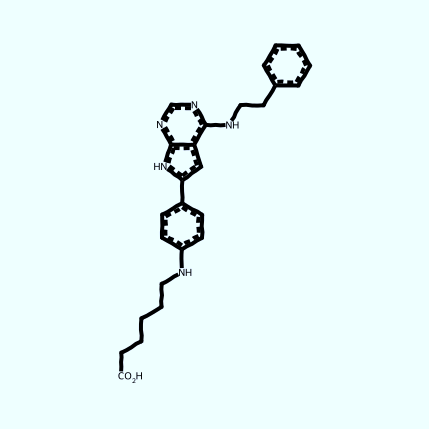 O=C(O)CCCCCNc1ccc(-c2cc3c(NCCc4ccccc4)ncnc3[nH]2)cc1